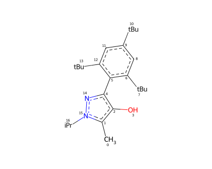 Cc1c(O)c(-c2c(C(C)(C)C)cc(C(C)(C)C)cc2C(C)(C)C)nn1C(C)C